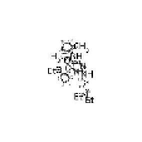 CCOc1ccccc1Oc1nc(NCCCCN(CC)CC)ncc1C(=O)Nc1c(C)cccc1C